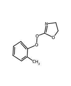 Cc1ccccc1OOC1=NCCO1